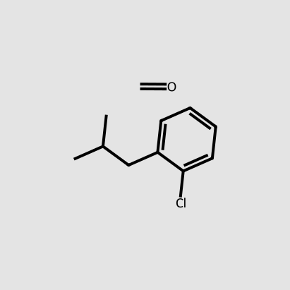 C=O.CC(C)Cc1ccccc1Cl